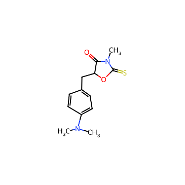 CN1C(=O)C(Cc2ccc(N(C)C)cc2)OC1=S